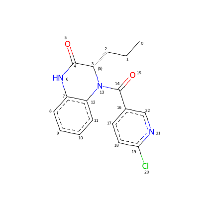 CCC[C@H]1C(=O)Nc2ccccc2N1C(=O)c1ccc(Cl)nc1